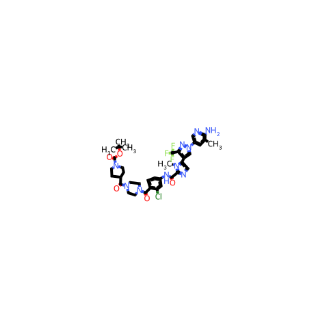 Cc1cc(-n2cc(-c3cnc(C(=O)Nc4ccc(C(=O)N5CCN(C(=O)C6CCN(C(=O)OC(C)(C)C)CC6)CC5)c(Cl)c4)n3C)c(C(F)(F)F)n2)cnc1N